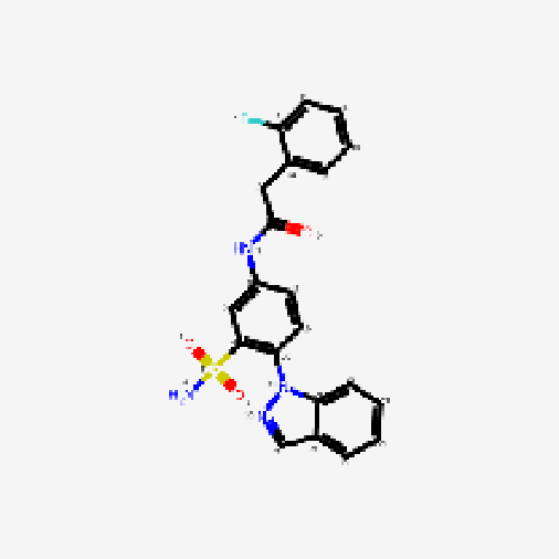 NS(=O)(=O)c1cc(NC(=O)Cc2ccccc2F)ccc1-n1ncc2ccccc21